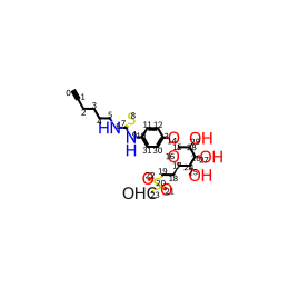 C#CCCCCNC(=S)Nc1ccc(O[C@H]2O[C@H](CCS(=O)(=O)C=O)[C@@H](O)[C@H](O)[C@@H]2O)cc1